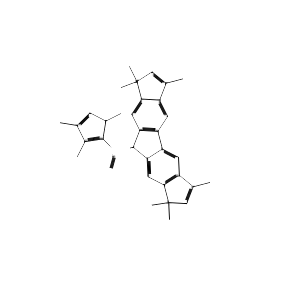 [CH2]=[Zr+2]([C]1=C(C)C(C)=CC1C)[CH]1c2cc3c(cc2-c2cc4c(cc21)C(C)(C)C=C4C)C(C)=CC3(C)C.[Cl-].[Cl-]